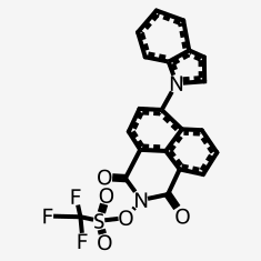 O=C1c2cccc3c(-n4ccc5ccccc54)ccc(c23)C(=O)N1OS(=O)(=O)C(F)(F)F